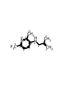 C=C(C)CNc1ccc(C(F)(F)F)nc1C